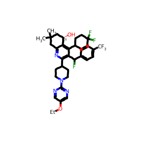 CCOc1cnc(N2CCC(c3nc4c(c(C5CCC(F)(F)CC5)c3C(F)c3ccc(C(F)(F)F)cc3)[C@@H](O)CC(C)(C)C4)CC2)nc1